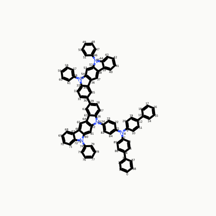 c1ccc(-c2ccc(N(c3ccc(-c4ccccc4)cc3)c3ccc(-n4c5ccc(-c6ccc7c(c6)c6cc8c9ccccc9n(-c9ccccc9)c8cc6n7-c6ccccc6)cc5c5cc6c7ccccc7n(-c7ccccc7)c6cc54)cc3)cc2)cc1